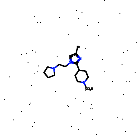 CCc1cn(CCN2CCCC2)c(C2CCN(C(=O)O)CC2)n1